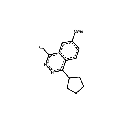 COc1ccc2c(C3CCCC3)nnc(Cl)c2c1